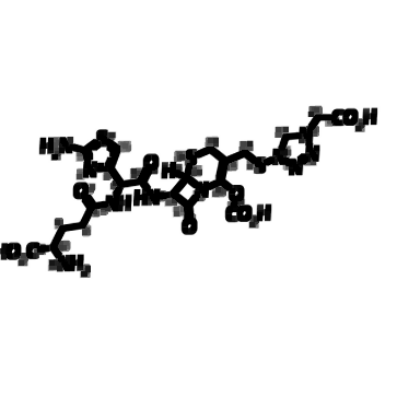 Nc1nc([C@H](NC(=O)CC[C@@H](N)C(=O)O)C(=O)N[C@@H]2C(=O)N3C(OC(=O)O)=C(CSN4CN(CC(=O)O)N=N4)CS[C@@H]23)cs1